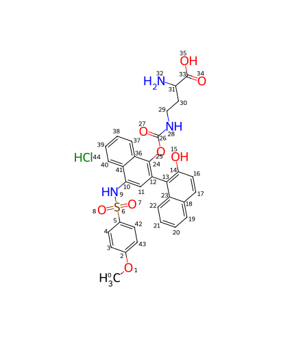 COc1ccc(S(=O)(=O)Nc2cc(-c3c(O)ccc4ccccc34)c(OC(=O)NCCC(N)C(=O)O)c3ccccc23)cc1.Cl